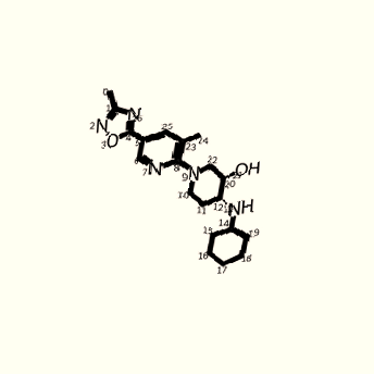 Cc1noc(-c2cnc(N3CC[C@@H](NC4CCCCC4)[C@H](O)C3)c(C)c2)n1